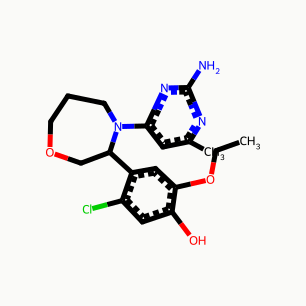 CCOc1cc(C2COCCCN2c2cc(C)nc(N)n2)c(Cl)cc1O